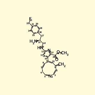 C=C1/C=C\N=C/C/C=C\C(c2sc(NC[C@@H](N)Cc3ccc(CF)cc3)nc2C(=O)OC)=C/1